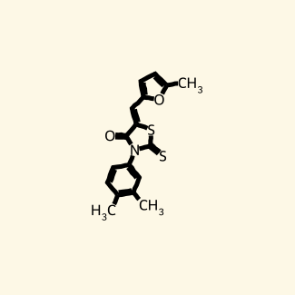 Cc1ccc(/C=C2\SC(=S)N(c3ccc(C)c(C)c3)C2=O)o1